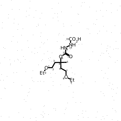 CCOCCC(C)(CCOCC)OC(=O)NNC(=O)O